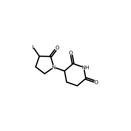 O=C1CCC(N2CCC(I)C2=O)C(=O)N1